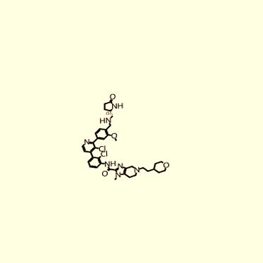 COc1cc(-c2nccc(-c3cccc(NC(=O)c4nc5c(n4C)CCN(CCC4CCOCC4)C5)c3Cl)c2Cl)ccc1CNC[C@@H]1CCC(=O)N1